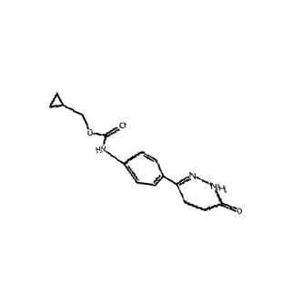 O=C1CCC(c2ccc(NC(=O)OCC3CC3)cc2)=NN1